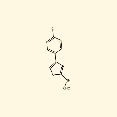 O=CNc1nc(-c2ccc(Cl)cc2)cs1